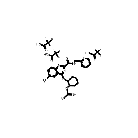 Cc1ccc2nc(C(=O)NCc3ccccn3)nc(NC3CCCCC3NC(=N)N)c2c1.O=C(O)C(F)(F)F.O=C(O)C(F)(F)F.O=C(O)C(F)(F)F